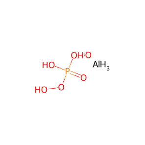 O=P(O)(O)OO.[AlH3].[O]